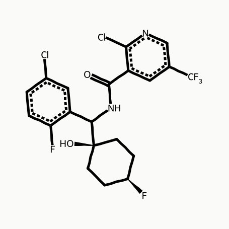 O=C(NC(c1cc(Cl)ccc1F)[C@]1(O)CC[C@@H](F)CC1)c1cc(C(F)(F)F)cnc1Cl